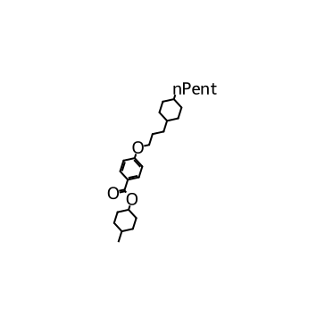 CCCCCC1CCC(CCCOc2ccc(C(=O)OC3CCC(C)CC3)cc2)CC1